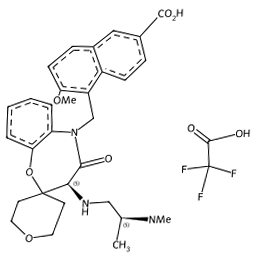 CN[C@@H](C)CN[C@@H]1C(=O)N(Cc2c(OC)ccc3cc(C(=O)O)ccc23)c2ccccc2OC12CCOCC2.O=C(O)C(F)(F)F